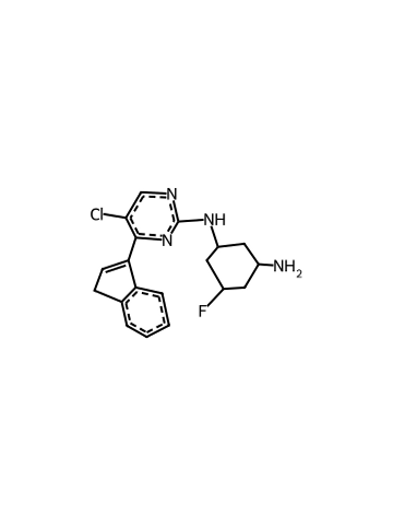 NC1CC(F)CC(Nc2ncc(Cl)c(C3=CCc4ccccc43)n2)C1